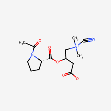 CC(=O)N1CCC[C@H]1C(=O)OC(CC(=O)[O-])C[N+](C)(C)C#N